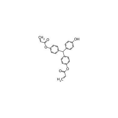 C=CC(=O)Oc1ccc(C(c2ccc(O)cc2)c2ccc(OC(=O)C=C)cc2)cc1